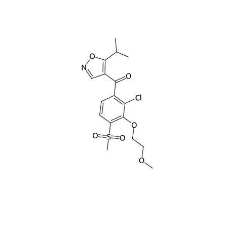 COCCOc1c(S(C)(=O)=O)ccc(C(=O)c2cnoc2C(C)C)c1Cl